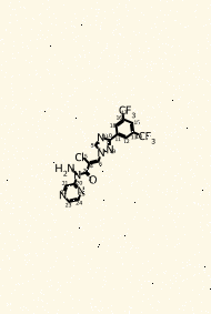 NN(C(=O)C(Cl)=Cn1cnc(-c2cc(C(F)(F)F)cc(C(F)(F)F)c2)n1)c1cnccn1